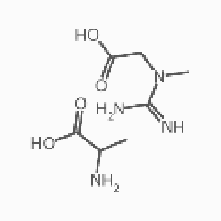 CC(N)C(=O)O.CN(CC(=O)O)C(=N)N